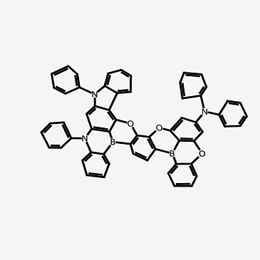 c1ccc(N(c2ccccc2)c2cc3c4c(c2)Oc2c(ccc5c2Oc2c6c(cc7c2c2ccccc2n7-c2ccccc2)N(c2ccccc2)c2ccccc2B56)B4c2ccccc2O3)cc1